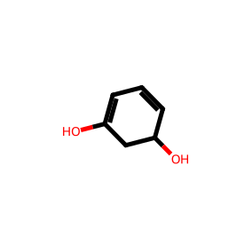 OC1=CC=CC(O)C1